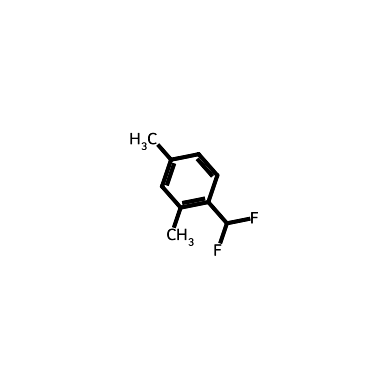 Cc1ccc(C(F)F)c(C)c1